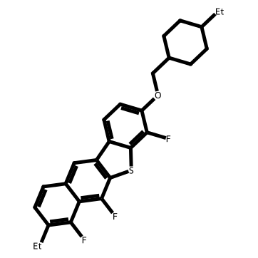 CCc1ccc2cc3c(sc4c(F)c(OCC5CCC(CC)CC5)ccc43)c(F)c2c1F